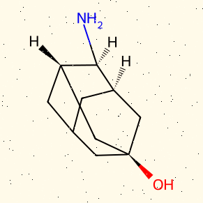 N[C@H]1[C@@H]2CC3C[C@H]1C[C@@](O)(C3)C2